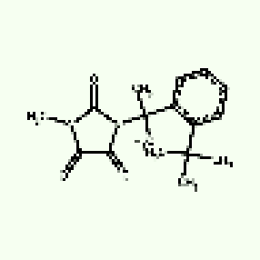 CN1C(=O)C(=O)N(C(C)(C)c2ccccc2C(C)(C)C)C1=O